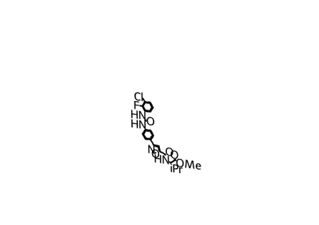 COC(=O)C(NC(=O)c1cc(-c2ccc(NC(=O)Nc3cccc(Cl)c3F)cc2)no1)C(C)C